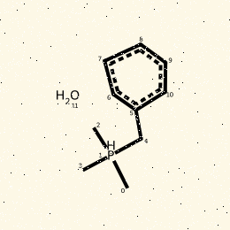 C[PH](C)(C)Cc1ccccc1.O